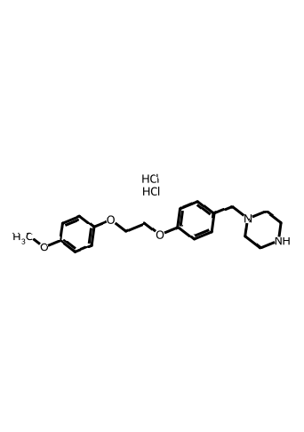 COc1ccc(OCCOc2ccc(CN3CCNCC3)cc2)cc1.Cl.Cl